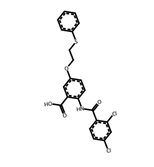 O=C(Nc1ccc(OCCSc2ccccc2)cc1C(=O)O)c1ccc(Cl)cc1Cl